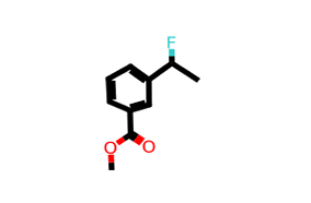 COC(=O)c1cccc(C(C)F)c1